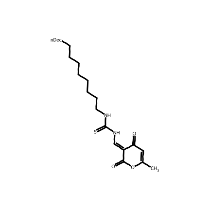 CCCCCCCCCCCCCCCCCCNC(=S)NC=C1C(=O)C=C(C)OC1=O